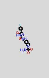 Nc1c(N2CCc3ccc(CNC(=O)c4ncc(-c5ccc(F)cc5)c(=O)[nH]4)cc3C2)c(=O)c1=O